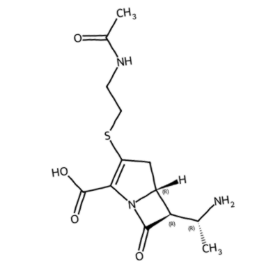 CC(=O)NCCSC1=C(C(=O)O)N2C(=O)[C@H]([C@@H](C)N)[C@H]2C1